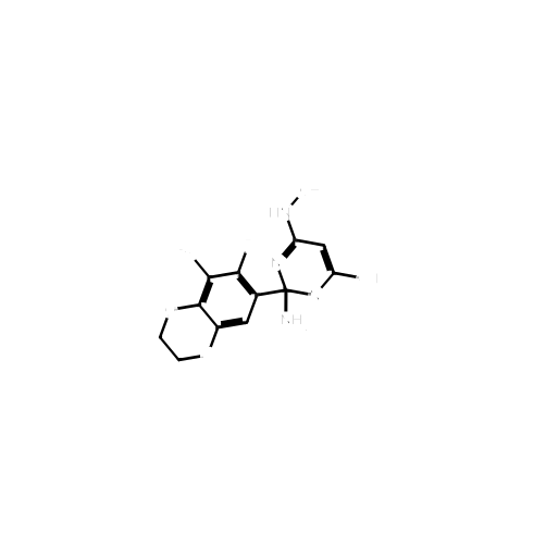 CNC1=NC(N)(c2cc3c(c(Br)c2F)OCCO3)NC(C)=C1